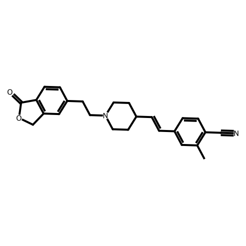 Cc1cc(/C=C/C2CCN(CCc3ccc4c(c3)COC4=O)CC2)ccc1C#N